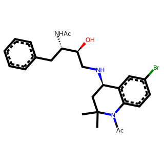 CC(=O)N[C@@H](Cc1ccccc1)[C@@H](O)CN[C@@H]1CC(C)(C)N(C(C)=O)c2ccc(Br)cc21